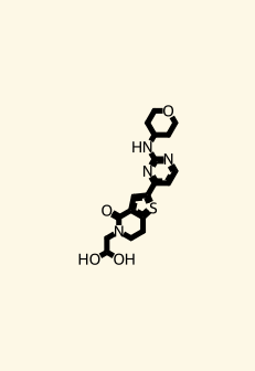 O=C1c2cc(-c3ccnc(NC4CCOCC4)n3)sc2CCN1CC(O)O